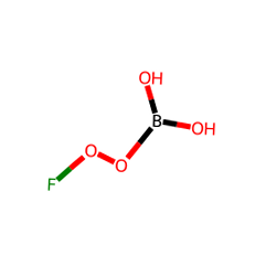 OB(O)OOF